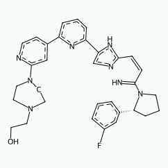 N=C(/C=C\c1ncc(-c2cccc(-c3ccnc(N4CCN(CCO)CC4)c3)n2)[nH]1)N1CCC[C@@H]1c1cccc(F)c1